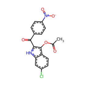 CC(=O)Oc1c(C(=O)c2ccc([N+](=O)[O-])cc2)[nH]c2cc(Cl)ccc12